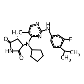 Cc1cnc(Nc2ccc(C(C)C)c(F)c2)nc1N(C1CCCC1)C1CC(=O)NC1=O